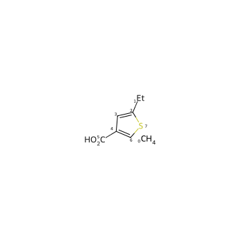 C.CCc1cc(C(=O)O)cs1